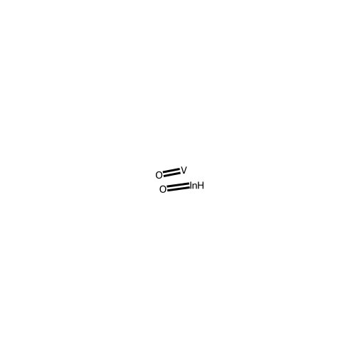 [O]=[InH].[O]=[V]